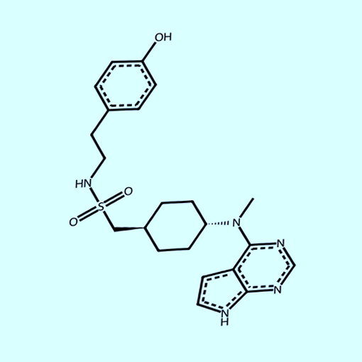 CN(c1ncnc2[nH]ccc12)[C@H]1CC[C@H](CS(=O)(=O)NCCc2ccc(O)cc2)CC1